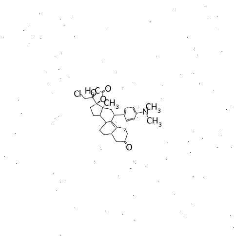 CC(=O)O[C@]1(C(=O)CCl)CCC2C3CCC4CC(=O)CCC4=C3C(c3ccc(N(C)C)cc3)C[C@@]21C